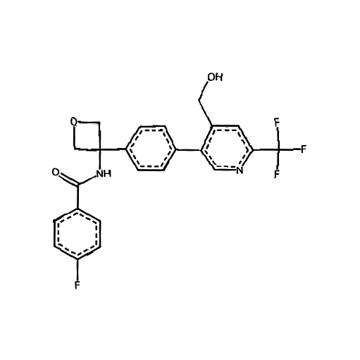 O=C(NC1(c2ccc(-c3cnc(C(F)(F)F)cc3CO)cc2)COC1)c1ccc(F)cc1